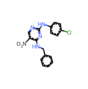 O=[N+]([O-])c1cnc(Nc2ccc(Cl)cc2)nc1NCc1ccccc1